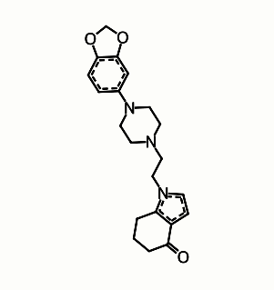 O=C1CCCc2c1ccn2CCN1CCN(c2ccc3c(c2)OCO3)CC1